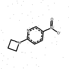 O=[N+]([O-])c1ccc(N2CCC2)nc1